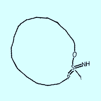 N=S1(I)=PCCCCCCCCCCCCCCCO1